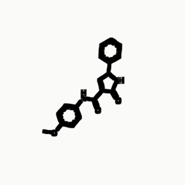 COc1ccc(NC(=O)C2=CC(c3ccccc3)NC2=O)cc1